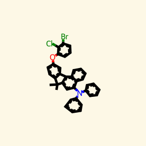 CC1(C)c2ccc(Oc3cccc(Br)c3Cl)cc2-c2c1cc(N(c1ccccc1)c1ccccc1)c1ccccc21